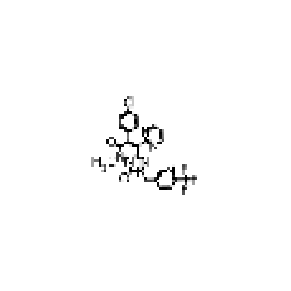 Cn1c(=O)c(-c2ccc(Cl)cc2)c(-c2ncccn2)c2nn(Cc3ccc(C(F)(F)F)nc3)c(=O)n21